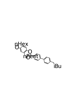 CCCCCCOc1ccc(OC(=O)c2ccc(-c3ccc(CC(C)CC)cc3)cc2)c(CCCCC)c1